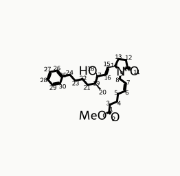 COC(=O)CCC/C=C\CN1C(=O)CC[C@@H]1/C=C/[C@@H](O)[C@@H](C)CCCCc1ccccc1